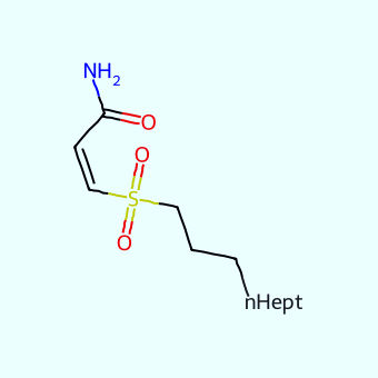 CCCCCCCCCCS(=O)(=O)/C=C\C(N)=O